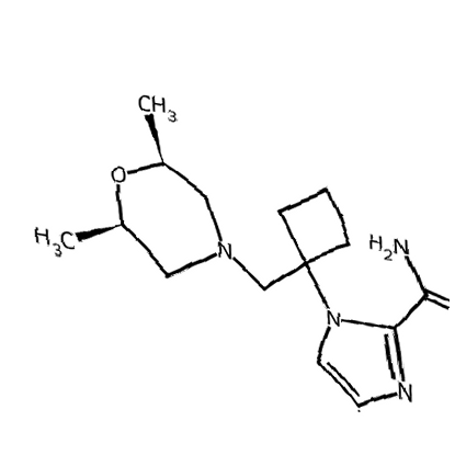 C[C@@H]1CN(CC2(n3c[c]nc3C(N)=O)CCC2)C[C@H](C)O1